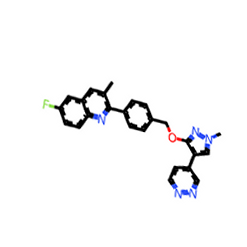 Cc1cc2cc(F)ccc2nc1-c1ccc(COc2nn(C)cc2-c2ccnnc2)cc1